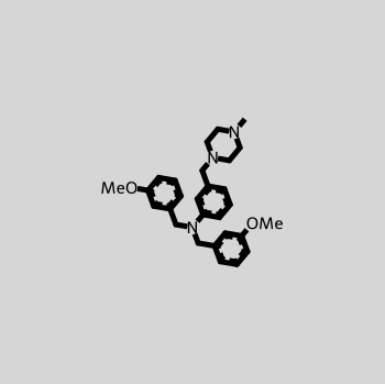 COc1cccc(CN(Cc2cccc(OC)c2)c2cccc(CN3CCN(C)CC3)c2)c1